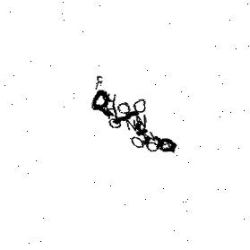 Cn1c(C(C)(C)N(Cc2ccccc2)C(=O)O)nc(C(=O)NCc2ccc(F)cc2)c(O)c1=O